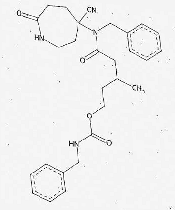 CC(CCOC(=O)NCc1ccccc1)CC(=O)N(Cc1ccccc1)C1(C#N)CCNC(=O)CC1